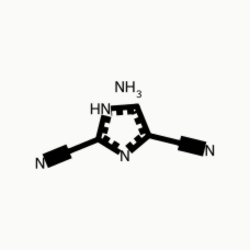 N.N#Cc1c[nH]c(C#N)n1